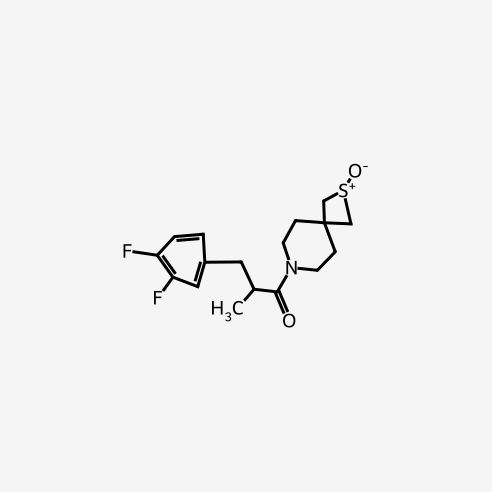 CC(Cc1ccc(F)c(F)c1)C(=O)N1CCC2(CC1)C[S+]([O-])C2